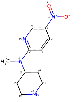 CN(c1ccc([N+](=O)[O-])cn1)C1CCNCC1